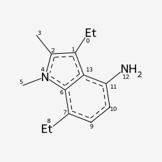 CCc1c(C)n(C)c2c(CC)ccc(N)c12